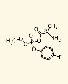 COOP(=O)(OC(=O)[C@H](C)N)Oc1ccc(F)cc1